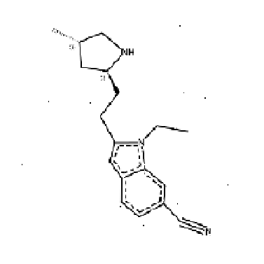 CCn1c(CC[C@H]2C[C@H](C)CN2)cc2ccc(C#N)cc21